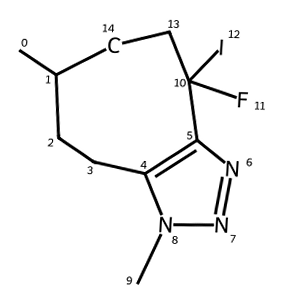 CC1CCc2c(nnn2C)C(F)(I)CC1